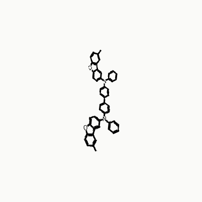 Cc1ccc2oc3ccc(N(c4ccccc4)c4ccc(-c5ccc(N(c6ccccc6)c6ccc7oc8ccc(C)cc8c7c6)cc5)cc4)cc3c2c1